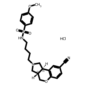 COc1ccc(S(=O)(=O)NCCCCN2C[C@H]3COc4ccc(C#N)cc4[C@@H]3C2)cc1.Cl